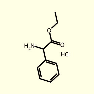 CCOC(=O)C(N)c1ccccc1.Cl